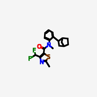 Cc1nc(C(F)F)c(C(=O)N(C)c2ccccc2C2CC3CCC2C3)s1